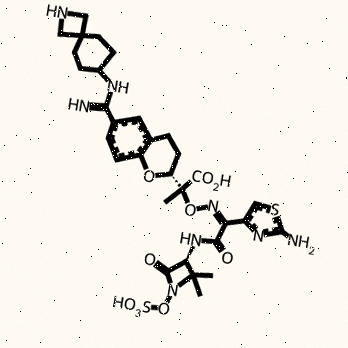 CC(O/N=C(\C(=O)N[C@@H]1C(=O)N(OS(=O)(=O)O)C1(C)C)c1csc(N)n1)(C(=O)O)[C@H]1CCc2cc(C(=N)NC3CCC4(CC3)CNC4)ccc2O1